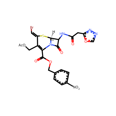 CC(=O)OCC1=C(C(=O)OCc2ccc([N+](=O)[O-])cc2)N2C(=O)C(NC(=O)Cc3nnco3)[C@@H]2SC1=CBr